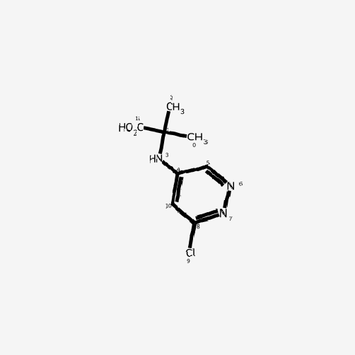 CC(C)(Nc1cnnc(Cl)c1)C(=O)O